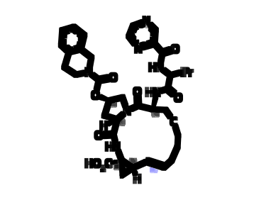 CC(C)C(NC(=O)c1cnccn1)C(=O)N[C@H]1CCCCC/C=C/[C@@H]2C[C@@]2(C(=O)O)NC(=O)[C@@H]2C[C@@H](OC(=O)N3CCc4ccccc4C3)CN2C1=O